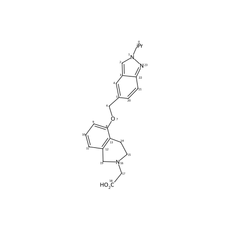 CC(C)n1cc2cc(COc3cccc4c3CCN(CC(=O)O)C4)ccc2n1